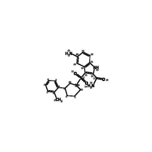 Cc1ccccc1C1CCCN(S(=O)(=O)c2c(C(N)=O)[nH]c3ccc(N)cc23)C1